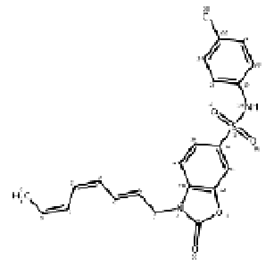 C\C=C/C=C\C=C\Cn1c(=O)oc2cc(S(=O)(=O)Nc3ccc(Cl)cc3)ccc21